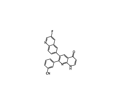 N#Cc1cccc(-c2nc3[nH]ccc(=O)c3cc2-c2ccc3ncc(F)cc3c2)c1